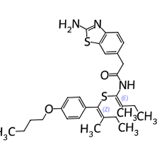 CCCCOc1ccc(/C(S/C(NC(=O)Cc2ccc3nc(N)sc3c2)=C(\C)CC)=C(\C)CC)cc1